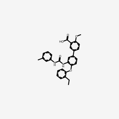 CCc1ccccc1Oc1ccc(-c2ccc(OC)c(C(=O)O)c2)cc1NC(=O)Nc1cccc(C)c1